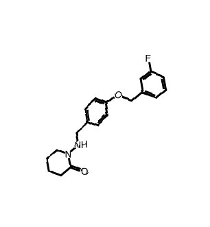 O=C1CCCCN1NCc1ccc(OCc2cccc(F)c2)cc1